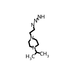 CC(C)N1CCN(CCN=[N+]=N)CC1